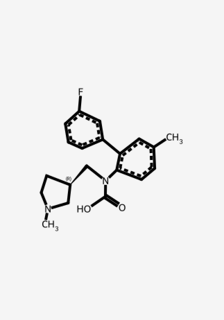 Cc1ccc(N(C[C@@H]2CCN(C)C2)C(=O)O)c(-c2cccc(F)c2)c1